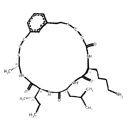 CC[C@H](C)[C@@H]1NC(=O)[C@H](CC(C)C)NC(=O)[C@H](CCCCN)NC(=O)CCSCc2cccc(c2)CSC[C@@H](C)NC1=O